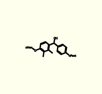 CCCCCCOc1ccc(C(O)c2ccc(CCCCC)cc2)c(C)c1C